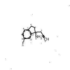 C#CCC1(N)CCc2ccc(F)cc21